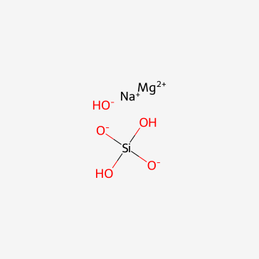 [Mg+2].[Na+].[O-][Si]([O-])(O)O.[OH-]